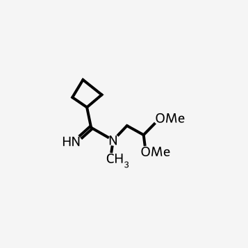 COC(CN(C)C(=N)C1CCC1)OC